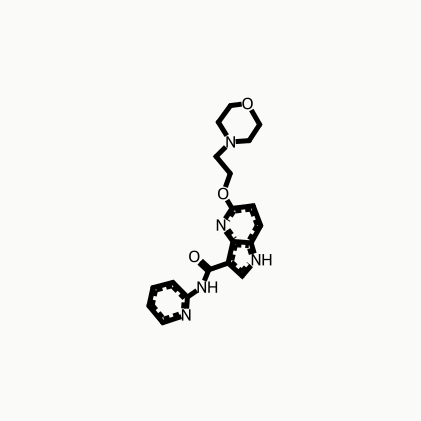 O=C(Nc1ccccn1)c1c[nH]c2ccc(OCCN3CCOCC3)nc12